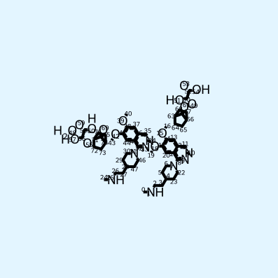 CNCCC1CCN(c2nncc3cc(OC)c(OC)cc23)CC1.CNCCC1CCN(c2nncc3cc(OC)c(OC)cc23)CC1.O.O=C(O)C(=O)O.O=C(O)C(=O)O.O=C1C2CCC1CC2.O=C1C2CCC1CC2